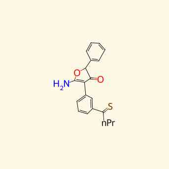 CCCC(=S)c1cccc(C2=C(N)OC(c3ccccc3)C2=O)c1